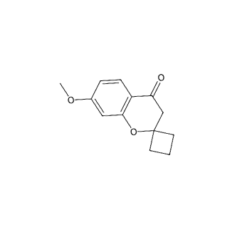 COc1ccc2c(c1)OC1(CCC1)CC2=O